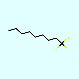 CCCCCCCCC(S)(S)S